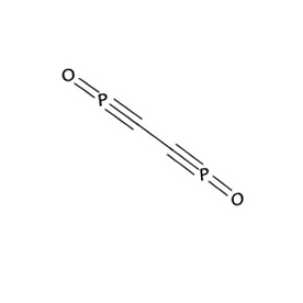 O=P#CC#P=O